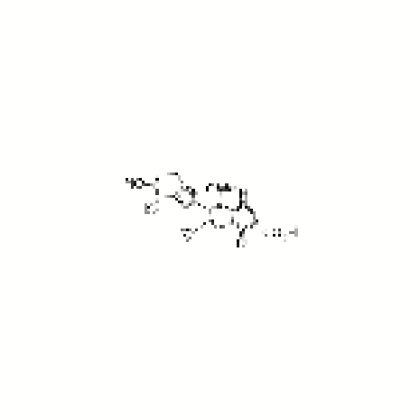 COc1c(-c2cc3c(s2)CCC(O)C3O)c(C2CC2)cc2c(=O)c(C(=O)O)c[nH]c12